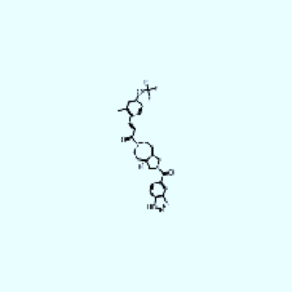 Cc1cc(OC(F)(F)F)ccc1/C=C/C(=O)N1CCC2CN(C(=O)c3ccc4[nH]nnc4c3)C[C@H]2CC1